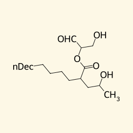 CCCCCCCCCCCCCCC(CC(C)O)C(=O)OC(C=O)CO